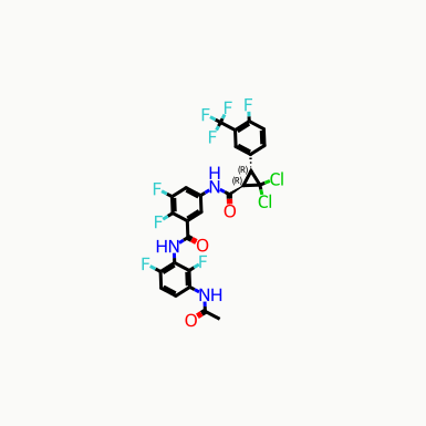 CC(=O)Nc1ccc(F)c(NC(=O)c2cc(NC(=O)[C@H]3[C@H](c4ccc(F)c(C(F)(F)F)c4)C3(Cl)Cl)cc(F)c2F)c1F